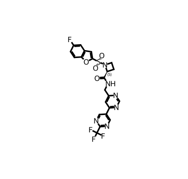 O=C(NCc1cc(-c2cnc(C(F)(F)F)nc2)ncn1)[C@@H]1CCN1S(=O)(=O)c1cc2cc(F)ccc2o1